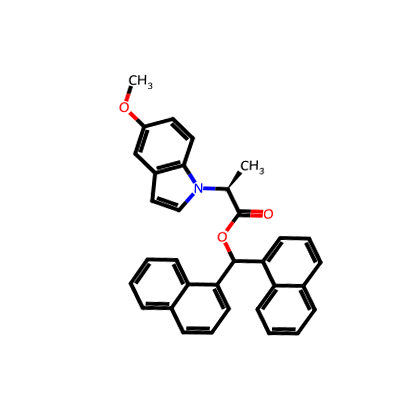 COc1ccc2c(ccn2[C@@H](C)C(=O)OC(c2cccc3ccccc23)c2cccc3ccccc23)c1